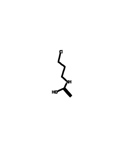 C=C(O)NCCCCl